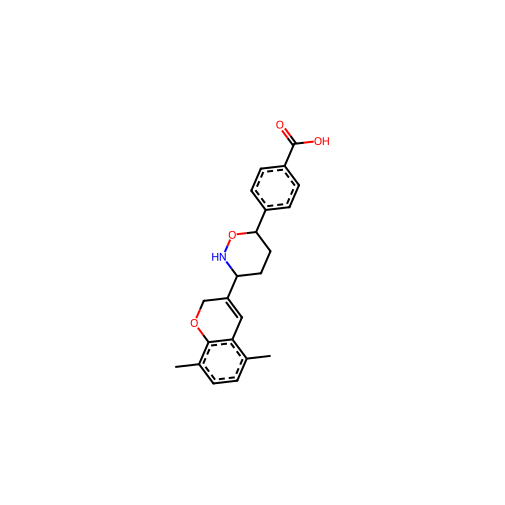 Cc1ccc(C)c2c1C=C(C1CCC(c3ccc(C(=O)O)cc3)ON1)CO2